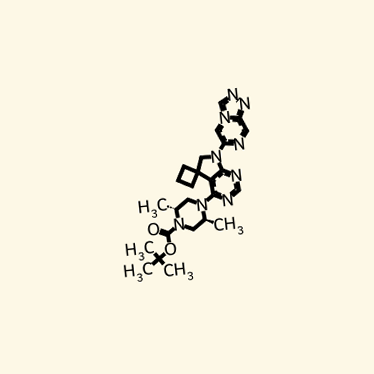 C[C@@H]1CN(c2ncnc3c2C2(CCC2)CN3c2cn3cnnc3cn2)[C@@H](C)CN1C(=O)OC(C)(C)C